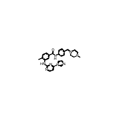 Cc1ccc(C(=O)Nc2ccc(CN3CCN(C)CC3)cc2)cc1Nc1nccc(-n2ccnc2)n1